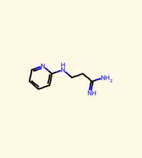 N=C(N)CCNc1ccccn1